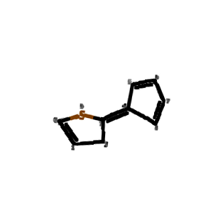 [C]1=CCC(=C2C=CC=C2)S1